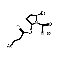 CCCCCCC(=O)N1[C@H](CC)CC[C@@H]1OC(=O)CCC(C)=O